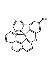 CC(C)(C)c1cc2c3c(c1)-c1cccc[n+]1[N+]31c3c(ccc4ccc5ccc[n+]1c5c34)O2